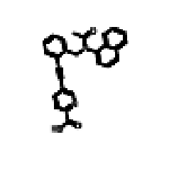 CC(=O)N(Cc1ccccc1C#Cc1ccc(C(=O)O)nc1)c1cccc2ccccc12